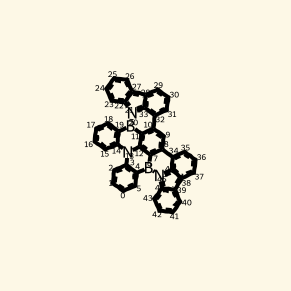 c1ccc2c(c1)B1c3c(cc4c5c3N2c2ccccc2B5n2c3ccccc3c3cccc-4c32)-c2cccc3c4ccccc4n1c23